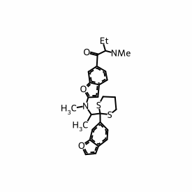 CCC(NC)C(=O)c1ccc2cc(N(C)C(C)C3(c4ccc5ccoc5c4)SCCCS3)oc2c1